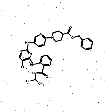 Cc1cnc(Nc2ccc(N3CCN(C(=O)OCc4ccccc4)CC3)nc2)nc1Nc1ccccc1C(=O)NC(C)C